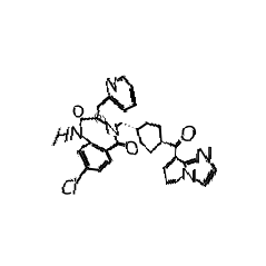 O=C1Nc2cc(Cl)ccc2C(=O)N(C[C@H]2CC[C@H](C(=O)c3cccn4ccnc34)CC2)[C@@H]1Cc1ccccn1